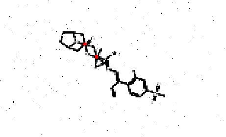 C=C/C(=C\N=C(/N)OCC1CC2CCC(C1)N2C(=O)OC1(C)CC1)c1ccc(S(C)(=O)=O)cc1F